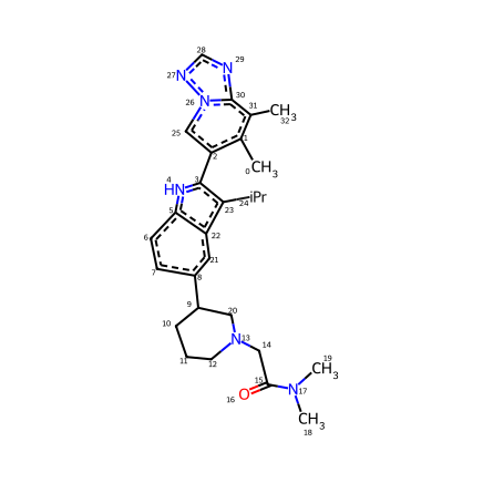 Cc1c(-c2[nH]c3ccc(C4CCCN(CC(=O)N(C)C)C4)cc3c2C(C)C)cn2ncnc2c1C